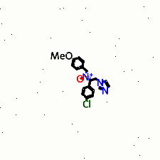 COc1ccc(C/[N+]([O-])=C(\Cn2ccnc2)c2ccc(Cl)cc2)cc1